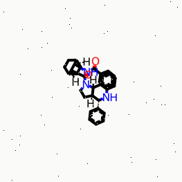 O=C(N[C@@H]1C2CCC(CC2)[C@H]1C(=O)N1CC[C@@H]2[C@@H](c3ccccc3)Nc3ccccc3[C@H]21)c1ccccc1